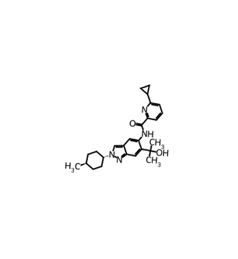 CC(C)(O)c1cc2nn([C@H]3CC[C@H](C)CC3)cc2cc1NC(=O)c1cccc(C2CC2)n1